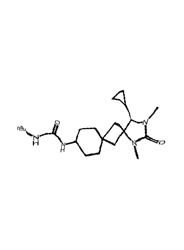 CCCCNC(=O)NC1CCC2(CC1)CC1(C2)[C@@H](C2CC2)N(C)C(=O)N1C